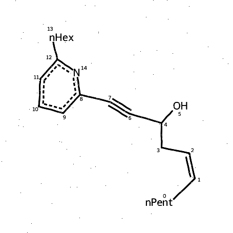 CCCCC/C=C\CC(O)C#Cc1cccc(CCCCCC)n1